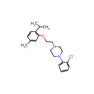 Cc1ccc(C(C)C)c(OCCN2CCN(c3ccccc3Cl)CC2)c1